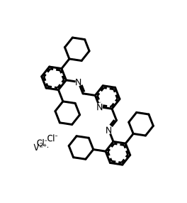 C(=Nc1c(C2CCCCC2)cccc1C1CCCCC1)c1cccc(C=Nc2c(C3CCCCC3)cccc2C2CCCCC2)n1.[Cl-].[Cl-].[V+2]